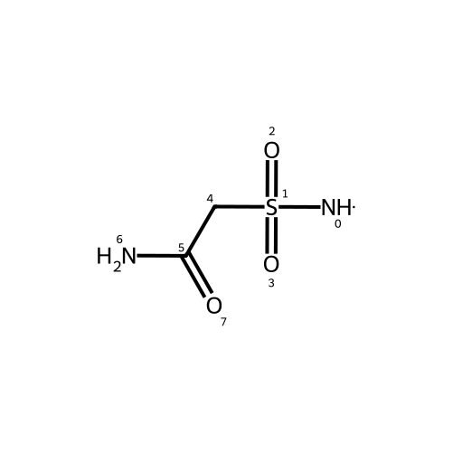 [NH]S(=O)(=O)CC(N)=O